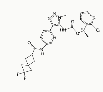 C[C@@H](OC(=O)Nc1c(-c2ccc(NC(=O)C3CC4(C3)CC(F)(F)C4)cn2)nnn1C)c1cccnc1Cl